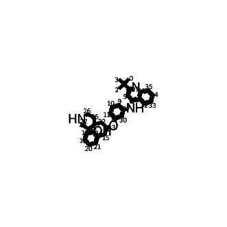 CC(C)(C)c1cc(Nc2cccc(OC(Cc3ccccc3)CC3(O)CCNCC3)c2)c2ccccc2n1